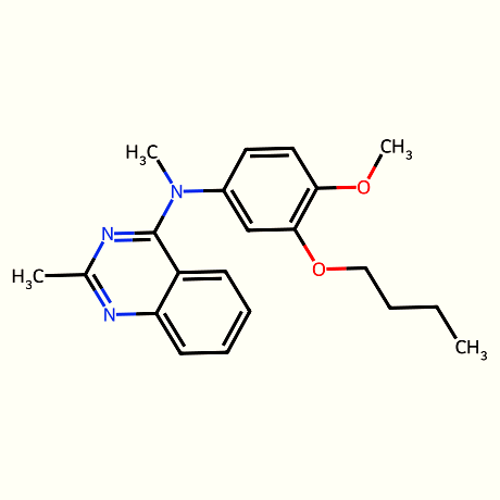 CCCCOc1cc(N(C)c2nc(C)nc3ccccc23)ccc1OC